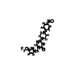 O=Nc1ccc(N2CCN(c3ncn(Cn4ccc(C(F)(F)F)n4)c(=O)n3)CC2)cc1